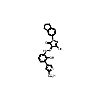 CC1=NN(c2ccc3c(c2)CCC3)C(=O)/C1=N\Nc1cccc(-c2coc(C(=O)O)c2)c1O